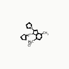 Cc1ccc(C)c2c1C=C(n1cccc1)[CH]2[Hf+2][C]1=CC=CC1.[Cl-].[Cl-]